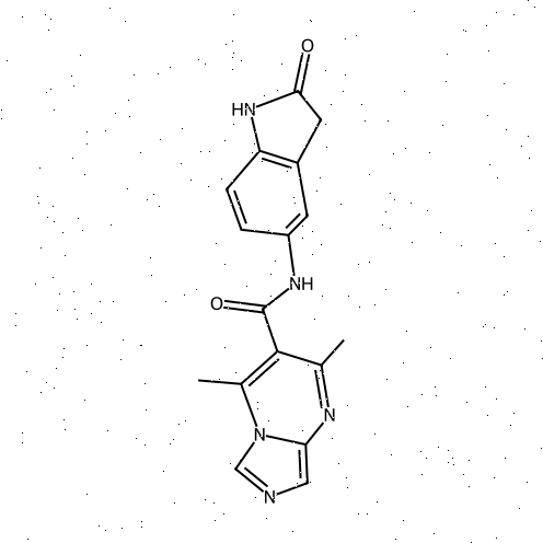 Cc1nc2cncn2c(C)c1C(=O)Nc1ccc2c(c1)CC(=O)N2